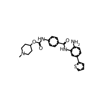 CN1CCC(OC(=O)Nc2ccc(C(=O)Nc3cc(-c4cccs4)ccc3N)cc2)CC1